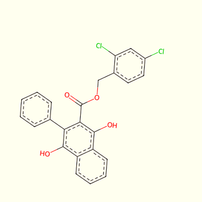 O=C(OCc1ccc(Cl)cc1Cl)c1c(-c2ccccc2)c(O)c2ccccc2c1O